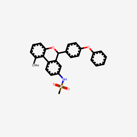 COc1cccc2c1-c1ccc(NS(C)(=O)=O)cc1C(c1ccc(Oc3ccccc3)cc1)O2